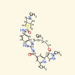 Cc1cc2cc(n1)-c1cnn(C)c1OCCC[C@@H](C)CN1/C(=N/C2=O)Nc2ccc(N[SH]3(=O)CC4CN(C)CC4C3)cc21